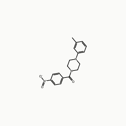 Cc1cccc(N2CCN(C(=O)c3ccc([N+](=O)[O-])cc3)CC2)c1